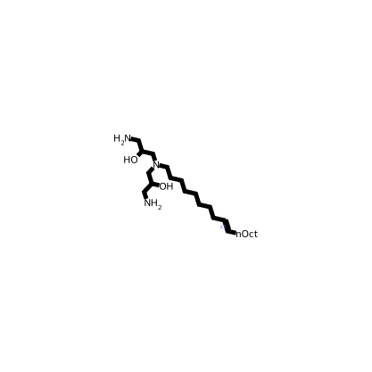 CCCCCCCC/C=C/CCCCCCCCN(CC(O)CN)CC(O)CN